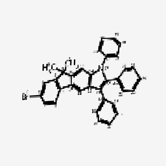 CC1(C)c2cc(Br)ccc2-c2cc3c(-c4ccccc4)c(-c4ccccc4)n(-c4ccccc4)c3cc21